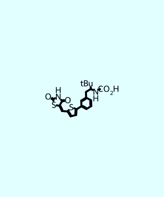 CC(C)(C)C(Cc1cccc(-c2ccc(C=C3SC(=O)NC3=O)s2)c1)NC(=O)O